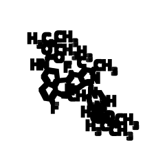 C#Cc1c(F)ccc2cc(NC(=O)OC(C)(C)C)cc(-c3ncc4c(N5C[C@H]6C[C@@H](O)[C@@H](C5)N6C(=O)OC(C)(C)C)nc(C)c(C)c4c3F)c12